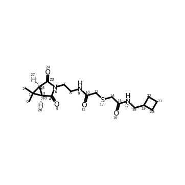 CC1(C)[C@@H]2C(=O)N(CCNC(=O)CSCC(=O)NCC3CCC3)C(=O)[C@@H]21